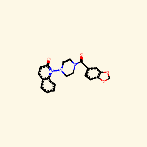 O=C(c1ccc2c(c1)OCO2)N1CCN(n2c(=O)ccc3ccccc32)CC1